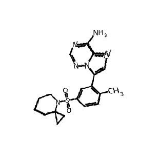 Cc1ccc(S(=O)(=O)N2CCCCC23CC3)cc1-c1cnc2c(N)ncnn12